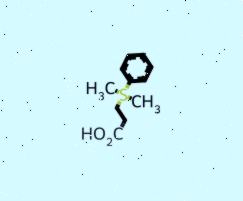 CS(C)(CCC(=O)O)c1ccccc1